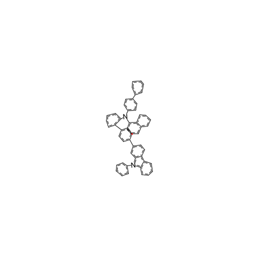 c1ccc(-c2ccc(N(c3ccccc3-c3ccc(-c4ccc5c6ccccc6n(-c6ccccc6)c5c4)cc3)c3cccc4ccccc34)cc2)cc1